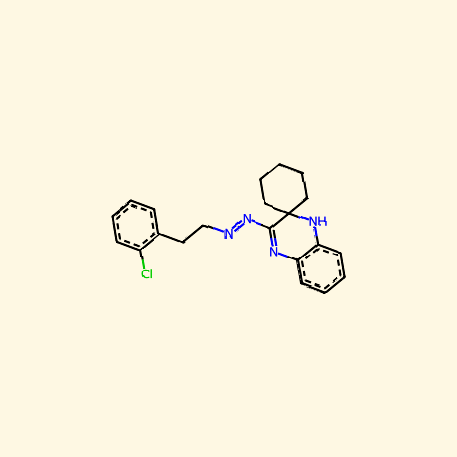 Clc1ccccc1CCN=NC1=Nc2ccccc2NC12CCCCC2